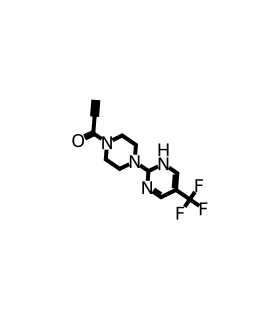 C#CC(=O)N1CCN(C2N=CC(C(F)(F)F)=CN2)CC1